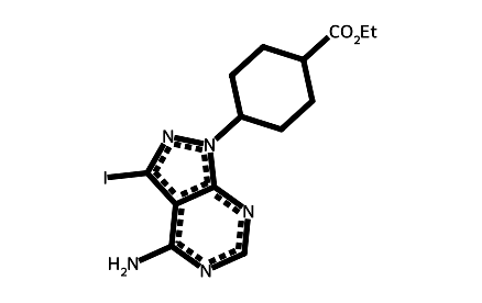 CCOC(=O)C1CCC(n2nc(I)c3c(N)ncnc32)CC1